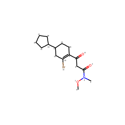 CON(C)C(=O)CC(=O)C1=C(Br)CC(C2CCCC2)CC1